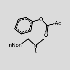 CC(=O)C(=O)Oc1ccccc1.CCCCCCCCCCN(C)C